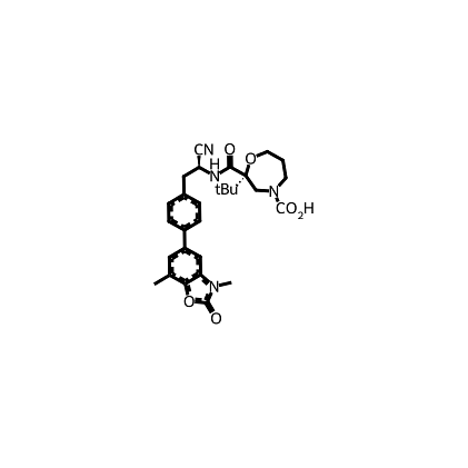 Cc1cc(-c2ccc(C[C@@H](C#N)NC(=O)[C@]3(C(C)(C)C)CN(C(=O)O)CCCO3)cc2)cc2c1oc(=O)n2C